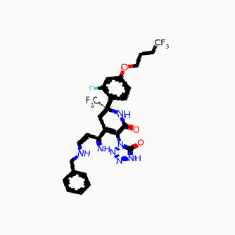 N=C(/C=C\NCc1ccccc1)C1=C(n2nn[nH]c2=O)C(=O)N[C@@](c2ccc(OCCCC(F)(F)F)cc2F)(C(F)(F)F)C1